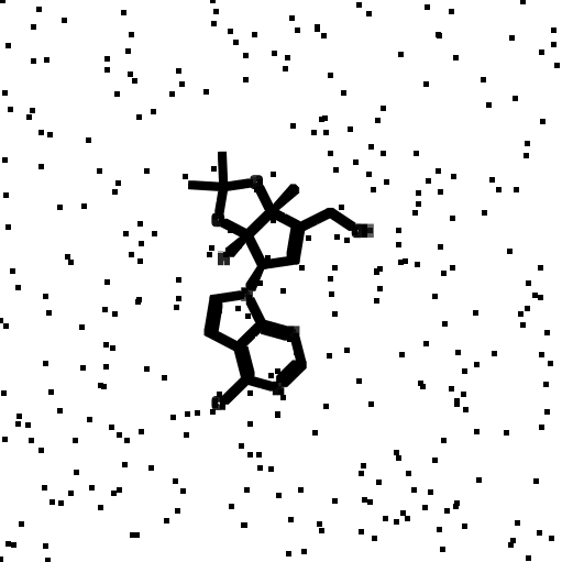 CC1(C)O[C@H]2[C@H](n3ccc4c(Cl)ncnc43)C=C(CO)[C@@]2(C)O1